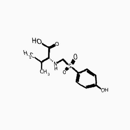 CC(C)[C@@H](NCS(=O)(=O)c1ccc(O)cc1)C(=O)O